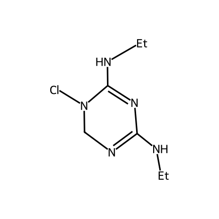 CCNC1=NCN(Cl)C(NCC)=N1